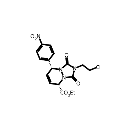 CCOC(=O)[C@@H]1C=C[C@H](c2ccc([N+](=O)[O-])cc2)n2c(=O)n(CCCl)c(=O)n21